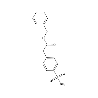 NS(=O)(=O)c1ccc(CC(=O)OCc2ccccc2)cc1